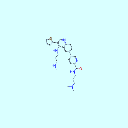 CN(C)CCCNC(=O)c1ccc(-c2ccc3ncc(-c4cccs4)c(NCCCN(C)C)c3c2)cn1